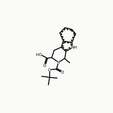 CC1c2[nH]c3ccccc3c2CC(C(=O)O)N1C(=O)OC(C)(C)C